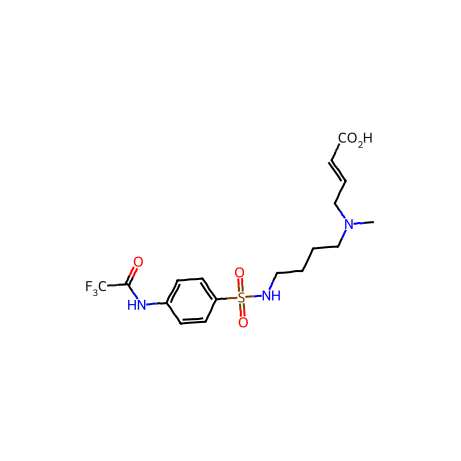 CN(CC=CC(=O)O)CCCCNS(=O)(=O)c1ccc(NC(=O)C(F)(F)F)cc1